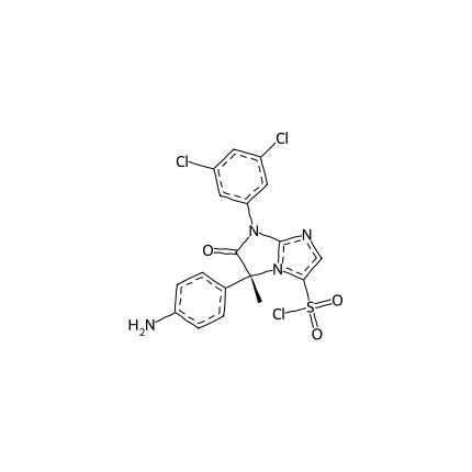 C[C@@]1(c2ccc(N)cc2)C(=O)N(c2cc(Cl)cc(Cl)c2)c2ncc(S(=O)(=O)Cl)n21